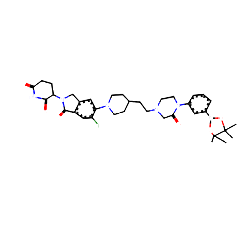 CC1(C)OB(c2cccc(N3CCN(CCC4CCN(c5cc6c(cc5F)C(=O)N(C5CCC(=O)NC5=O)C6)CC4)CC3=O)c2)OC1(C)C